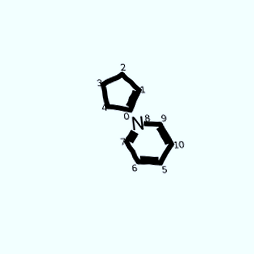 C1=CCCC1.c1ccncc1